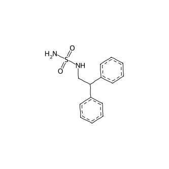 NS(=O)(=O)NCC(c1ccccc1)c1ccccc1